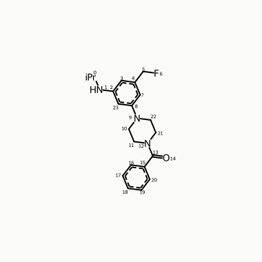 CC(C)Nc1cc(CF)cc(N2CCN(C(=O)c3ccccc3)CC2)c1